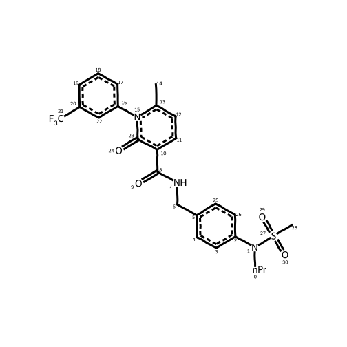 CCCN(c1ccc(CNC(=O)c2ccc(C)n(-c3cccc(C(F)(F)F)c3)c2=O)cc1)S(C)(=O)=O